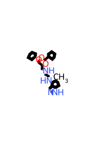 Cc1ccc2[nH]ncc2c1NCCNCC(COc1ccccc1)OC(=O)c1ccccc1